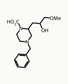 COCC(O)CC1CN(Cc2ccccc2)CCN1C(=O)O